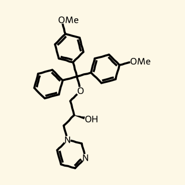 COc1ccc(C(OC[C@@H](O)CN2C=CC=NC2)(c2ccccc2)c2ccc(OC)cc2)cc1